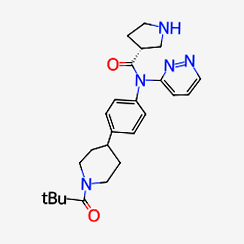 CC(C)(C)C(=O)N1CCC(c2ccc(N(C(=O)[C@@H]3CCNC3)c3cccnn3)cc2)CC1